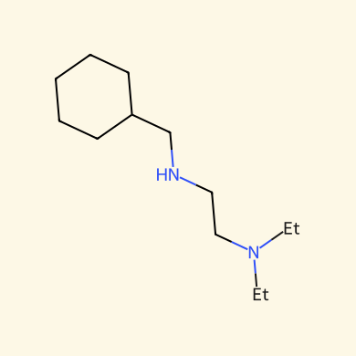 CCN(CC)CCNCC1CCCCC1